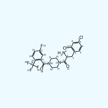 NC(Cc1ccc(Cl)cc1Cl)C(=O)N1CCN(C(=O)c2cc(F)ccc2C(F)(F)F)CC1